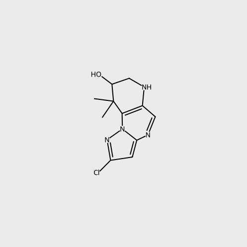 CC1(C)c2c(cnc3cc(Cl)nn23)NCC1O